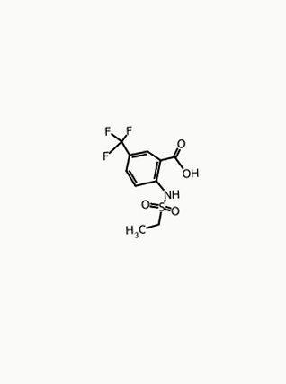 CCS(=O)(=O)Nc1ccc(C(F)(F)F)cc1C(=O)O